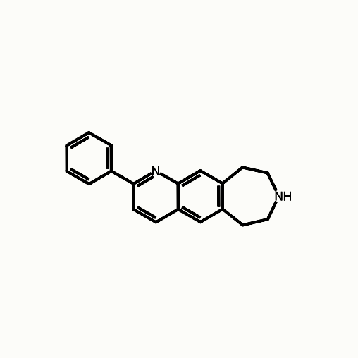 c1ccc(-c2ccc3cc4c(cc3n2)CCNCC4)cc1